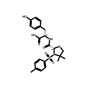 Cc1ccc(S(=O)(=O)N2[C@H](C(=O)N[C@@H](Cc3ccc(O)cc3)C(=O)O)SCC2(C)C)cc1